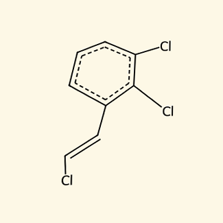 ClC=Cc1cccc(Cl)c1Cl